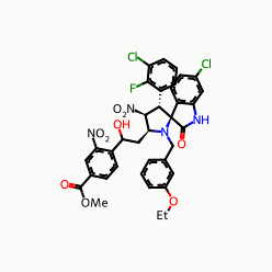 CCOc1cccc(CN2[C@@H](CC(O)c3ccc(C(=O)OC)cc3[N+](=O)[O-])[C@@H]([N+](=O)[O-])[C@H](c3cccc(Cl)c3F)[C@]23C(=O)Nc2cc(Cl)ccc23)c1